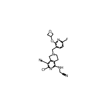 N#CCNc1nc(Cl)c(C#N)c2c1CCN(Cc1ccc(F)nc1OC1COC1)C2